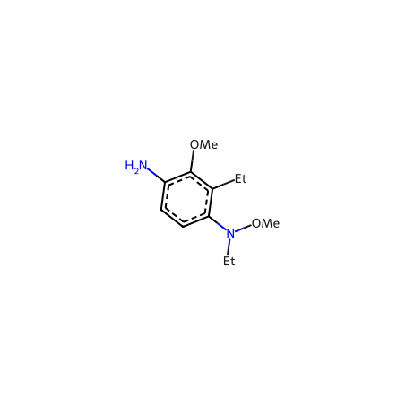 CCc1c(N(CC)OC)ccc(N)c1OC